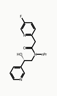 CCCN(C[C@@H](O)c1cccnc1)C(=O)Cc1ccc(F)cn1